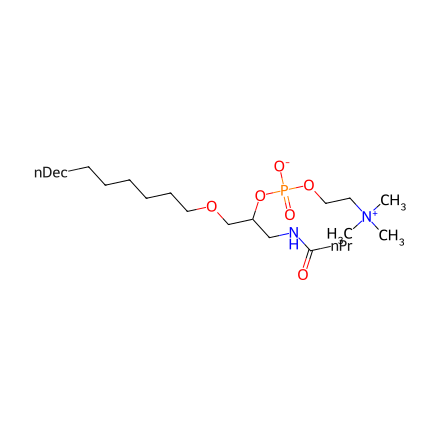 CCCCCCCCCCCCCCCCOCC(CNC(=O)CCC)OP(=O)([O-])OCC[N+](C)(C)C